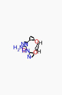 Nc1ncc2nc1C(=O)Nc1cnccc1O[C@H]1CC[C@H](CC1)Oc1cccc-2c1